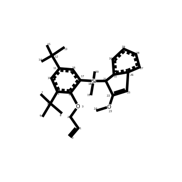 C=CCOc1c(C(C)(C)C)cc(C(C)(C)C)cc1[Si](C)(C)C1C(OC)=Cc2ccccc21